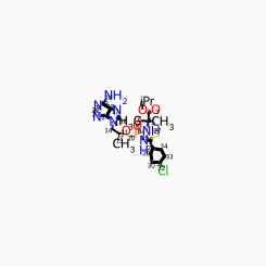 CC(C)OC(=O)C(C)(C)N[P@@](=O)(CO[C@H](C)Cn1cnc2c(N)ncnc21)NC(=S)c1ccc(Cl)cc1